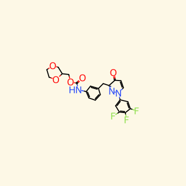 O=C(Nc1cccc(Cc2nn(-c3cc(F)c(F)c(F)c3)ccc2=O)c1)OCC1COCCO1